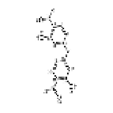 CC(=O)c1ccc(Cc2ccc(C(C)=O)c(O)c2)cc1O